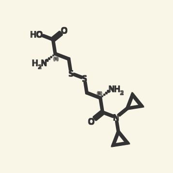 N[C@@H](CSSC[C@H](N)C(=O)N(C1CC1)C1CC1)C(=O)O